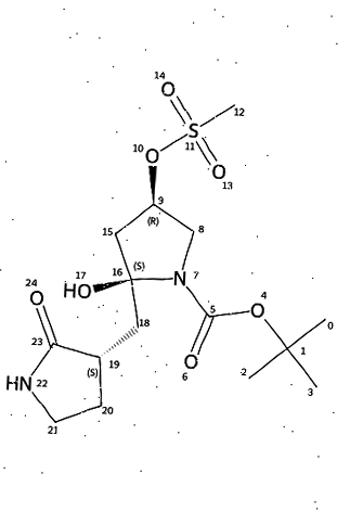 CC(C)(C)OC(=O)N1C[C@H](OS(C)(=O)=O)C[C@@]1(O)C[C@@H]1CCNC1=O